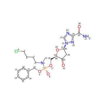 CN(CCCCCl)P(=O)(OCc1ccccc1)OC[C@H]1O[C@@H](n2cnc(C(N)=O)n2)CC1=O